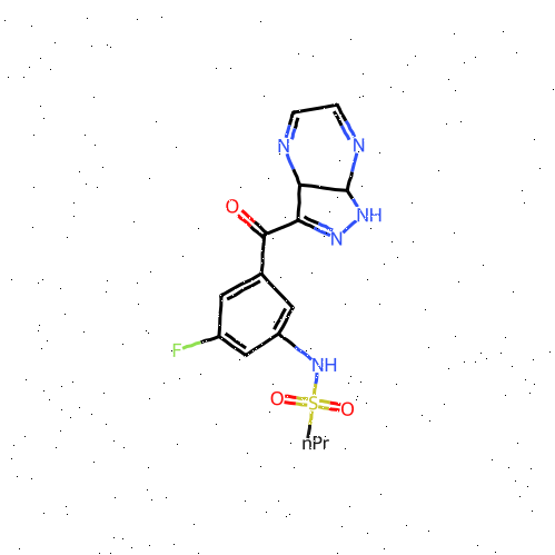 CCCS(=O)(=O)Nc1cc(F)cc(C(=O)C2=NNC3N=CC=NC23)c1